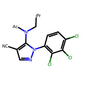 CC(=O)N(CC(C)C)c1c(C#N)cnn1-c1ccc(Cl)c(Cl)c1Cl